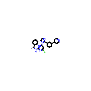 C[C@H](Nc1nc(Cl)cc(-n2ccnc2-c2cccc(-c3ccncc3)c2)n1)c1ccccc1